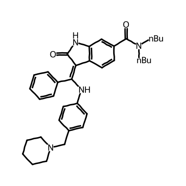 CCCCN(CCCC)C(=O)c1ccc2c(c1)NC(=O)C2=C(Nc1ccc(CN2CCCCC2)cc1)c1ccccc1